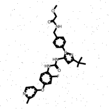 COCC(=O)NCc1ccc(-n2nc(C(C)(C)C)cc2NC(=O)Nc2ccc(Oc3ccnc(C)c3)cc2F)cc1